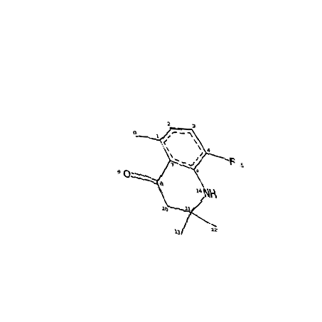 Cc1ccc(F)c2c1C(=O)CC(C)(C)N2